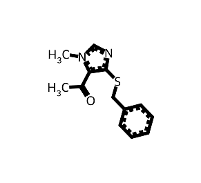 CC(=O)c1c(SCc2ccccc2)ncn1C